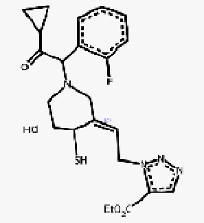 CCOC(=O)c1cnnn1C/C=C1/CN(C(C(=O)C2CC2)c2ccccc2F)CCC1S.Cl